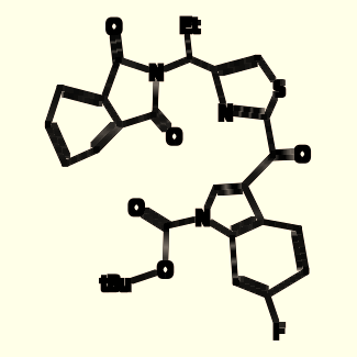 CCC(c1csc(C(=O)c2cn(C(=O)OC(C)(C)C)c3cc(F)ccc23)n1)N1C(=O)c2ccccc2C1=O